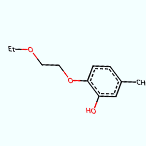 CCOCCOc1ccc(C=O)cc1O